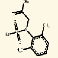 CCS(=O)(=O)N(CC(=O)C(C)(C)C)c1c(C)cccc1C